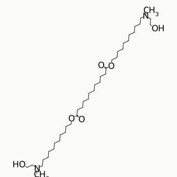 CN(CCO)CCCCCCCCCCCOC(=O)CCCCCCCCCCC(=O)OCCCCCCCCCCCN(C)CCO